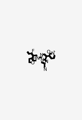 C=C/C(F)=C(/CNc1ncc(-c2cccn(C)c2=O)c2nc(C#N)cn12)C1=C(C)OCC1